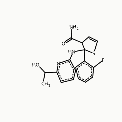 CC(O)c1cccc(NC2(c3ccccc3F)SC=CC2C(N)=O)n1